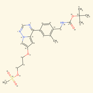 Cc1cc(-c2ncnn3cc(OCCCOS(C)(=O)=O)cc23)ccc1CNC(=O)OC(C)(C)C